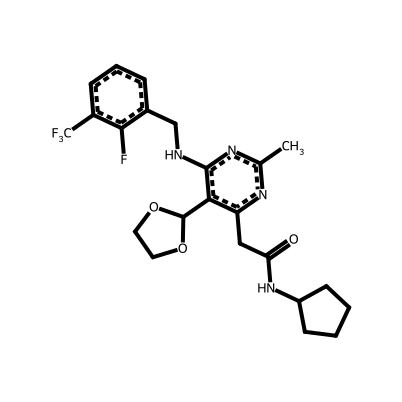 Cc1nc(CC(=O)NC2CCCC2)c(C2OCCO2)c(NCc2cccc(C(F)(F)F)c2F)n1